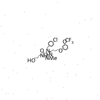 CNc1nc(CCCOc2cccc(OC(F)(F)F)c2)n(Cc2ccc(Cl)cc2)c1C(=O)NCCCO